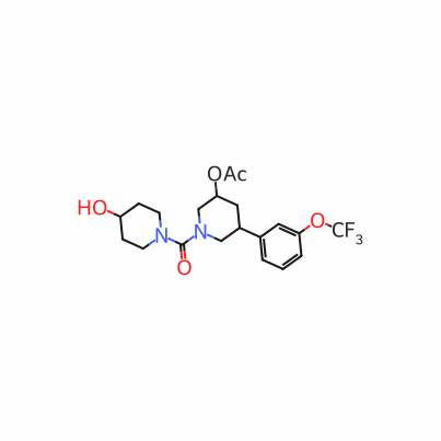 CC(=O)OC1CC(c2cccc(OC(F)(F)F)c2)CN(C(=O)N2CCC(O)CC2)C1